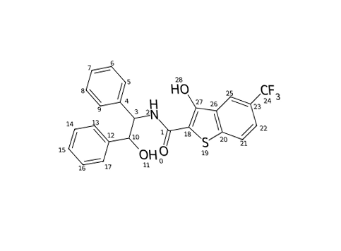 O=C(NC(c1ccccc1)C(O)c1ccccc1)c1sc2ccc(C(F)(F)F)cc2c1O